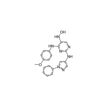 COc1ccc(Nc2nc(Nc3cnn(-c4ccccc4)c3)ncc2NO)cc1